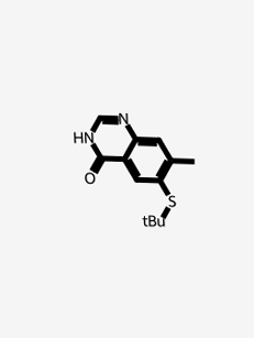 Cc1cc2nc[nH]c(=O)c2cc1SC(C)(C)C